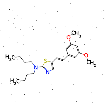 CCCCN(CCCC)c1ncc(/C=C/c2cc(OC)cc(OC)c2)s1